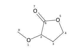 COC1CCOC1=O